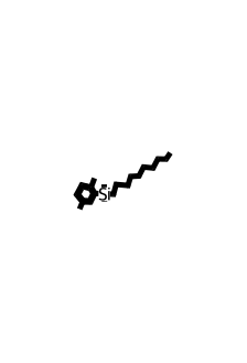 CCCCCCCCCC[Si](C)(C)c1cc(C)ccc1C